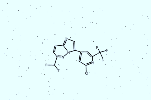 FC(F)c1ccc2ncc(-c3cc(Cl)nc(C(F)(F)F)c3)n2n1